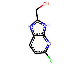 OCc1nc2ccc(Cl)nc2[nH]1